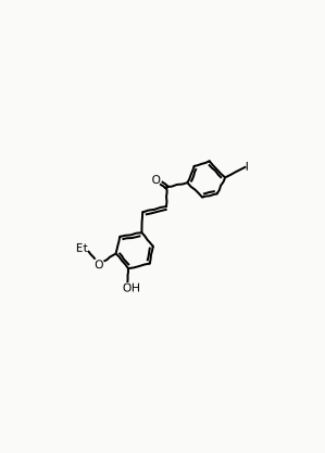 CCOc1cc(/C=C/C(=O)c2ccc(I)cc2)ccc1O